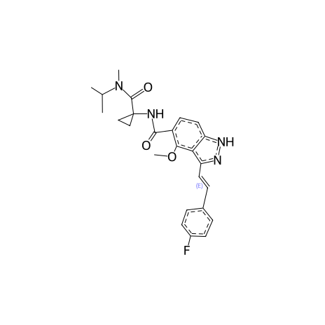 COc1c(C(=O)NC2(C(=O)N(C)C(C)C)CC2)ccc2[nH]nc(/C=C/c3ccc(F)cc3)c12